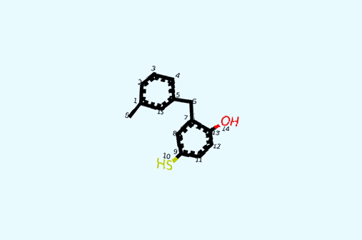 Cc1cccc(Cc2cc(S)ccc2O)c1